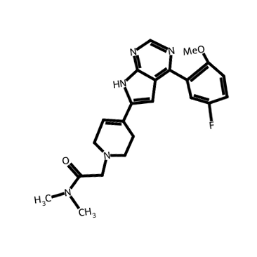 COc1ccc(F)cc1-c1ncnc2[nH]c(C3=CCN(CC(=O)N(C)C)CC3)cc12